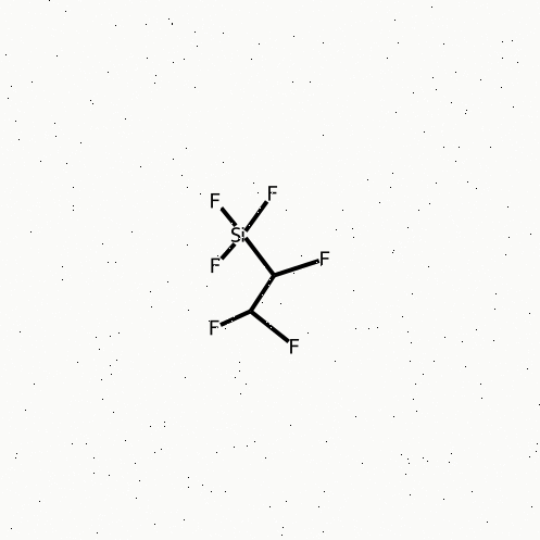 FC(F)C(F)[Si](F)(F)F